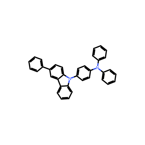 c1ccc(-c2ccc3c(c2)c2ccccc2n3-c2ccc(N(c3ccccc3)c3ccccc3)cc2)cc1